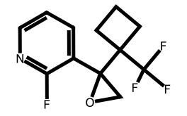 Fc1ncccc1C1(C2(C(F)(F)F)CCC2)CO1